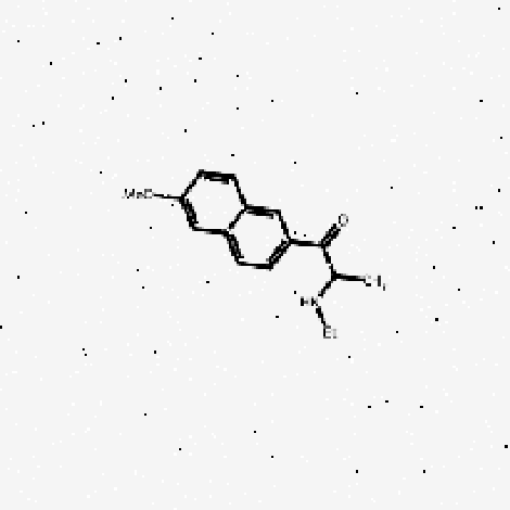 CCNC(C)C(=O)c1ccc2cc(OC)ccc2c1